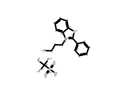 FCCC[n+]1c(-c2ccccc2)sc2ccccc21.O=S(=O)([O-])C(F)(F)F